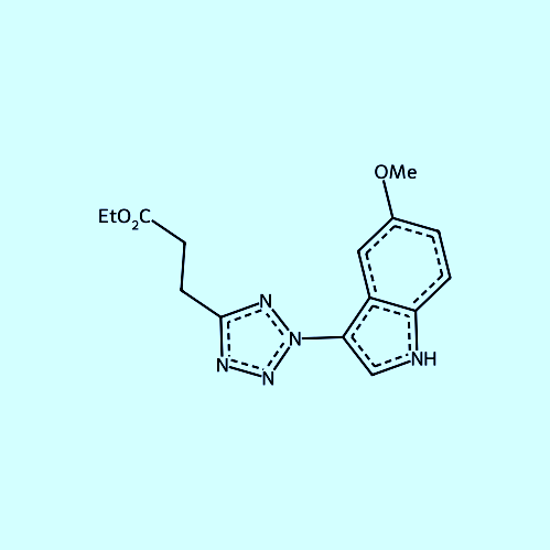 CCOC(=O)CCc1nnn(-c2c[nH]c3ccc(OC)cc23)n1